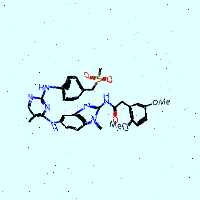 COc1ccc(OC)c(CC(=O)Nc2nc3cc(Nc4nc(Nc5ccc(CS(C)(=O)=O)cc5)ncc4C)ccc3n2C)c1